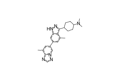 Cc1cc(-c2cc(C)c3ncnn3c2)cc2[nH]nc(C3CCC(N(C)C)CC3)c12